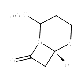 O=C(O)C1CCS[C@@H]2CC(=O)N12